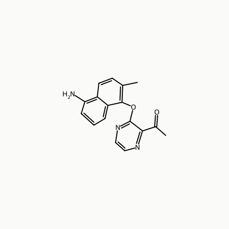 CC(=O)c1nccnc1Oc1c(C)ccc2c(N)cccc12